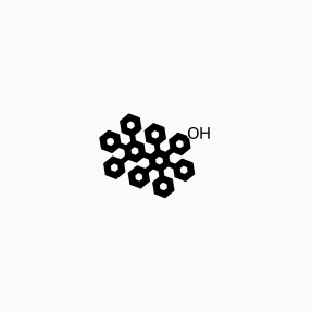 Oc1ccc(-c2c(-c3ccccc3)c(-c3ccccc3)c(-c3ccccc3)c(-c3cc(-c4ccccc4)c(-c4ccccc4)c(-c4ccccc4)c3)c2-c2ccccc2)cc1